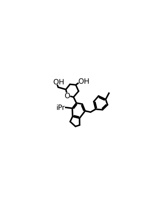 Cc1ccc(Cc2cc(C3CC(O)CC(CO)O3)c(C(C)C)c3c2CCC3)cc1